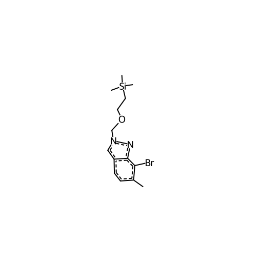 Cc1ccc2cn(COCC[Si](C)(C)C)nc2c1Br